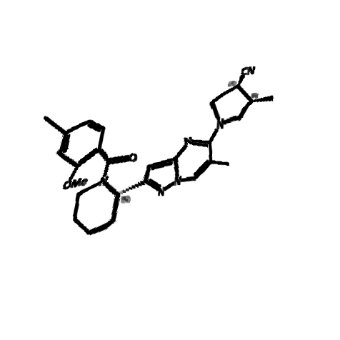 COc1cc(C)ccc1C(=O)N1CCCC[C@H]1c1cc2nc(N3C[C@@H](C#N)[C@@H](C)C3)c(C)cn2n1